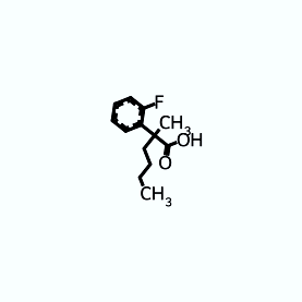 CCCCC(C)(C(=O)O)c1ccccc1F